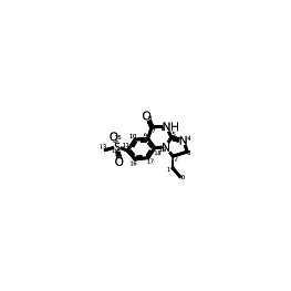 CC[C@@H]1CN=C2NC(=O)c3cc(S(C)(=O)=O)ccc3N21